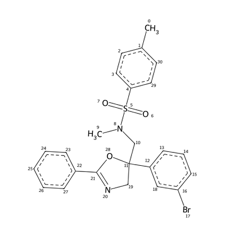 Cc1ccc(S(=O)(=O)N(C)CC2(c3cccc(Br)c3)CN=C(c3ccccc3)O2)cc1